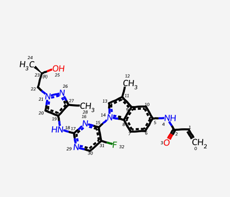 C=CC(=O)Nc1ccc2c(c1)c(C)cn2-c1nc(Nc2cn(C[C@@H](C)O)nc2C)ncc1F